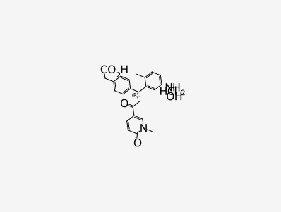 Cc1ccccc1[C@H](CC(=O)c1ccc(=O)n(C)c1)c1ccc(CC(=O)O)cc1.Cl.NO